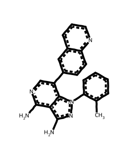 Cc1ccccc1-n1nc(N)c2c(N)ncc(-c3ccc4ncccc4c3)c21